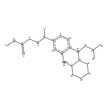 COC(=O)COC(C)c1ccc(N(CC(C)C)C2CCCCC2)c(N)c1